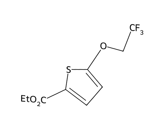 CCOC(=O)c1ccc(OCC(F)(F)F)s1